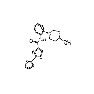 O=C(Nc1cccnc1N1CCC(O)CC1)c1csc(-c2cccs2)n1